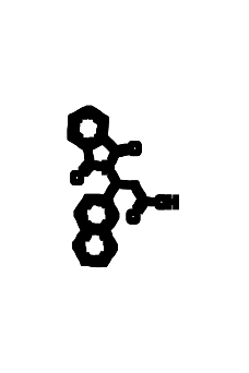 O=C(O)CC(c1ccc2ccccc2c1)N1C(=O)c2ccccc2C1=O